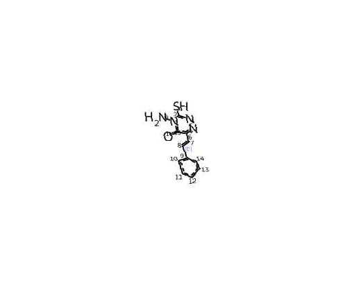 Nn1c(S)nnc(/C=C/c2ccccc2)c1=O